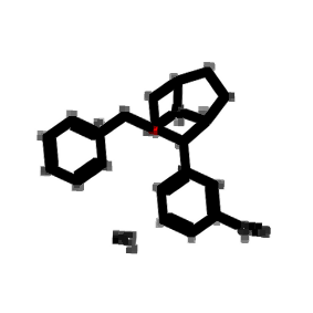 COc1cccc(C2CCC3CCC2N3CCc2ccccc2)c1.Cl